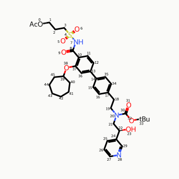 CC(=O)OCCCS(=O)(=O)NC(=O)c1ccc(-c2ccc(CCN(C[C@@H](O)c3cccnc3)C(=O)OC(C)(C)C)cc2)cc1OC1CCCCCC1